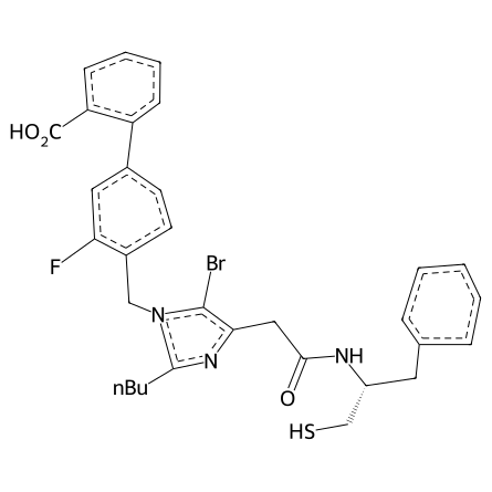 CCCCc1nc(CC(=O)N[C@@H](CS)Cc2ccccc2)c(Br)n1Cc1ccc(-c2ccccc2C(=O)O)cc1F